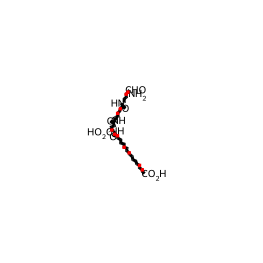 N[C@H](C=O)CCCCNC(=O)CCCCCNC(=O)CC[C@H](NC(=O)CCCCCCCCCCCCCCCCCCC(=O)O)C(=O)O